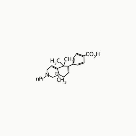 CCCN1CC=C2C(C)(C)C(c3ccc(C(=O)O)cc3)=CC[C@]2(C)C1